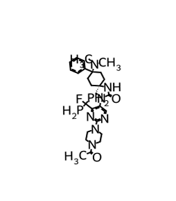 CC(=O)N1CCN(c2ncc(N3C[C@]4(CC[C@](c5ccccc5)(N(C)C)CC4)NC3=O)c(C(F)(P)P)n2)CC1